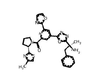 Cc1csc([C@H]2CCCN2C(=O)c2cc(-c3nnc([C@@](C)(N)Cc4ccccc4)o3)cc(-c3ncco3)n2)n1